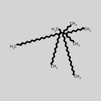 C=CCCCCCCCCCCCCCCCCC(CCCCC)(C(=CCCCC)CCCCCCC=C)C(CC)=C(CCCCCCCCCCCC=C)CCCCCCCCCCCCCCC=CCC